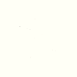 O=CC(F)C(F)(F)C(F)F